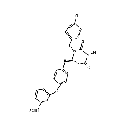 CCn1c(=O)[nH]/c(=N\c2ccc(Oc3cccc(NC(C)=O)c3)cc2)n(Cc2ccc(Cl)cc2)c1=O